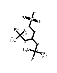 CS(=O)(=O)CCC(CC(F)(C(F)(F)F)C(F)(F)F)CC(F)(C(F)(F)F)C(F)(F)F